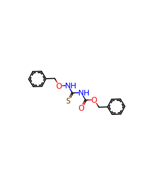 O=C(NC(=S)NOCc1ccccc1)OCc1ccccc1